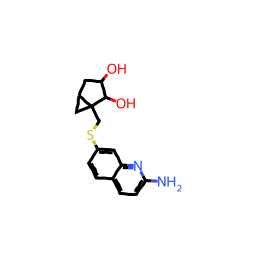 Nc1ccc2ccc(SCC34CC3CC(O)C4O)cc2n1